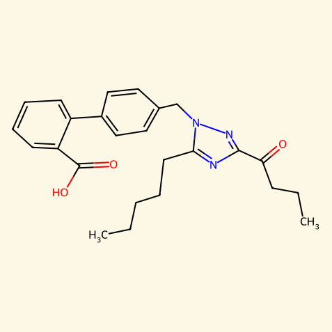 CCCCCc1nc(C(=O)CCC)nn1Cc1ccc(-c2ccccc2C(=O)O)cc1